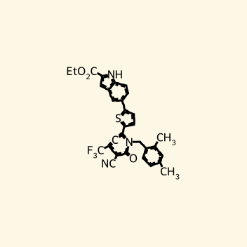 CCOC(=O)c1cc2cc(-c3ccc(-c4cc(C(F)(F)F)c(C#N)c(=O)n4Cc4ccc(C)cc4C)s3)ccc2[nH]1